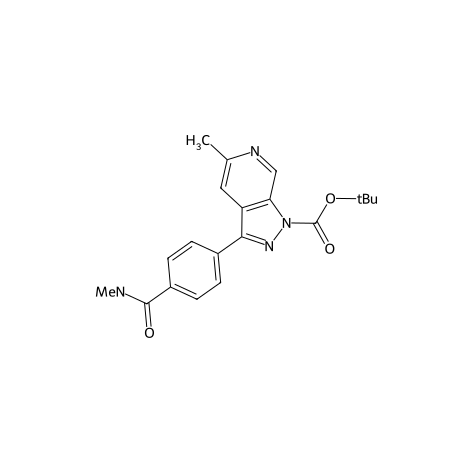 CNC(=O)c1ccc(-c2nn(C(=O)OC(C)(C)C)c3cnc(C)cc23)cc1